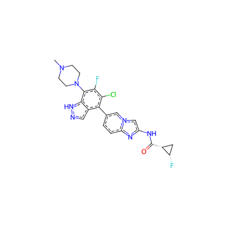 CN1CCN(c2c(F)c(Cl)c(-c3ccc4nc(NC(=O)[C@@H]5C[C@@H]5F)cn4c3)c3cn[nH]c23)CC1